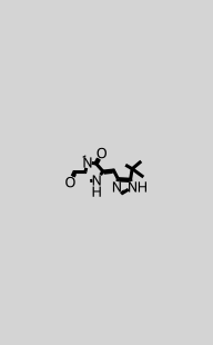 CN/C(=C\c1nc[nH]c1C(C)(C)C)C(=O)N(C)CC=O